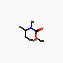 CCOC(=O)CC(CC)N(C#N)C(=O)OC(C)(C)C